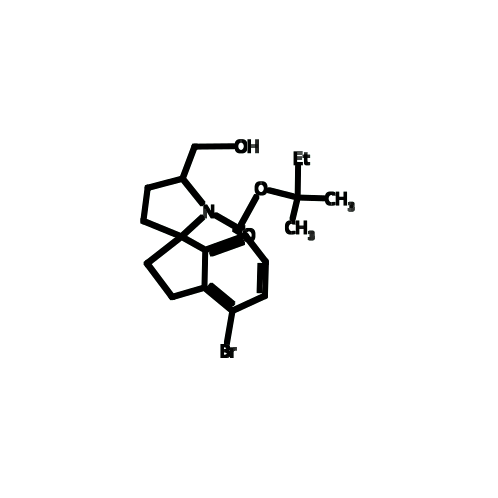 CCC(C)(C)OC(=O)N1C(CO)CCC12CCc1c(Br)cccc12